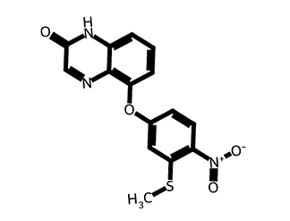 CSc1cc(Oc2cccc3[nH]c(=O)cnc23)ccc1[N+](=O)[O-]